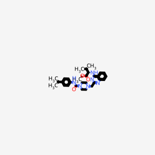 COC(=O)[C@@H](Nc1nc(CN2CCN(C(=O)Nc3ccc(C(C)C)cc3)CC2)nc2ccccc12)C(C)C